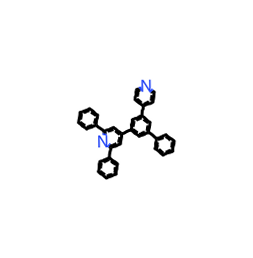 c1ccc(-c2cc(-c3ccncc3)cc(-c3cc(-c4ccccc4)nc(-c4ccccc4)c3)c2)cc1